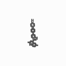 Cc1ccc2nc(C)cc(-c3cnc4cc(-c5ccc(N6CCNCC6)cc5)ccn34)c2c1